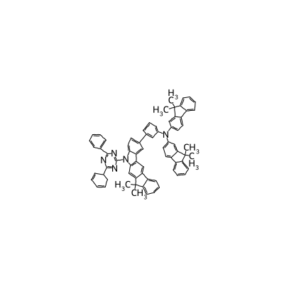 CC1(C)c2ccccc2-c2ccc(N(c3cccc(-c4ccc5c(c4)c4cc6c(cc4n5-c4nc(-c5ccccc5)nc(C5C=CC=CC5)n4)C(C)(C)c4ccccc4-6)c3)c3ccc4c(c3)C(C)(C)c3ccccc3-4)cc21